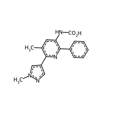 Cc1cc(NC(=O)O)c(-c2ccccc2)nc1-c1cnn(C)c1